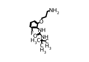 CC(C)(C)NC(=O)Nc1c(F)cccc1OCCCN